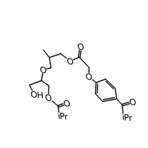 CC(COC(=O)COc1ccc(C(=O)C(C)C)cc1)COC(CO)COC(=O)C(C)C